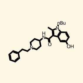 CCCCn1c(C)c(C(=O)NC2CCN(CCc3ccccc3)CC2)c2cc(O)ccc21